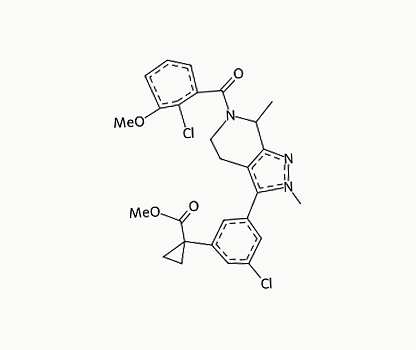 COC(=O)C1(c2cc(Cl)cc(-c3c4c(nn3C)C(C)N(C(=O)c3cccc(OC)c3Cl)CC4)c2)CC1